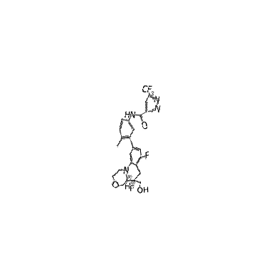 Cc1ccc(NC(=O)c2cnnc(C(F)(F)F)c2)cc1-c1cc(F)c2c(c1)N1CCOC[C@@H]1[C@](F)(CO)C2